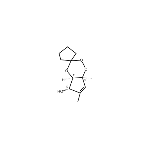 CC1=C[C@]2(C)OOC3(CCCC3)O[C@@H]2[C@H]1O